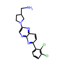 NCC1CCN(c2cnc3nc(-c4cccc(Cl)c4Cl)ccc3n2)C1